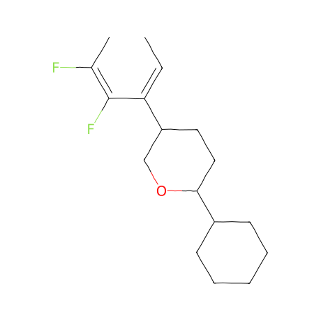 C/C=C(\C(F)=C(/C)F)C1CCC(C2CCCCC2)OC1